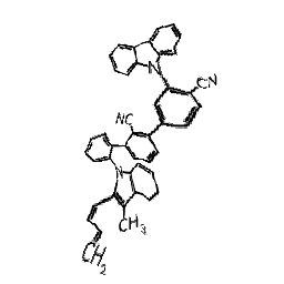 C=C/C=C\c1c(C)c2c(n1-c1ccccc1-c1cccc(-c3ccc(C#N)c(-n4c5ccccc5c5ccccc54)c3)c1C#N)C=CCC2